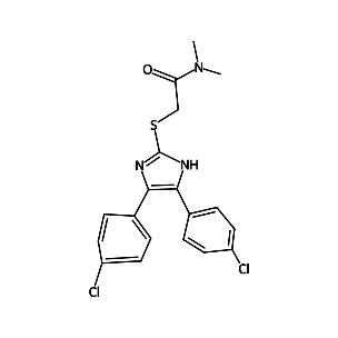 CN(C)C(=O)CSc1nc(-c2ccc(Cl)cc2)c(-c2ccc(Cl)cc2)[nH]1